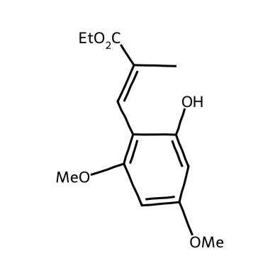 CCOC(=O)C(C)=Cc1c(O)cc(OC)cc1OC